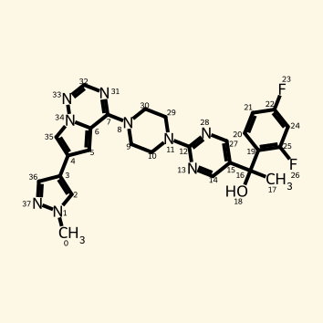 Cn1cc(-c2cc3c(N4CCN(c5ncc(C(C)(O)c6ccc(F)cc6F)cn5)CC4)ncnn3c2)cn1